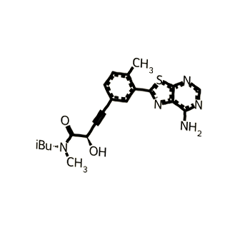 CC[C@@H](C)N(C)C(=O)[C@H](O)C#Cc1ccc(C)c(-c2nc3c(N)ncnc3s2)c1